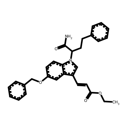 CCOC(=O)C=Cc1cn(C(CCc2ccccc2)C(N)=O)c2ccc(OCc3ccccc3)cc12